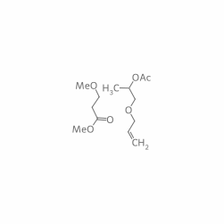 C=CCOCC(C)OC(C)=O.COCCC(=O)OC